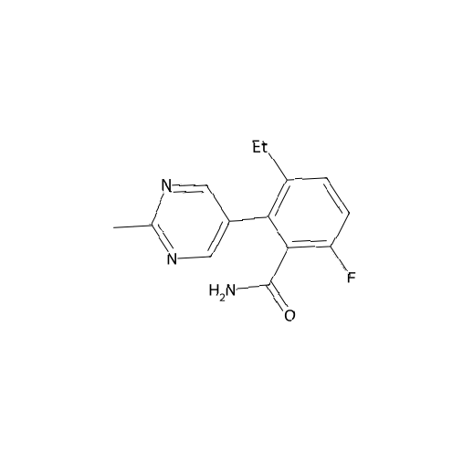 CCc1ccc(F)c(C(N)=O)c1-c1cnc(C)nc1